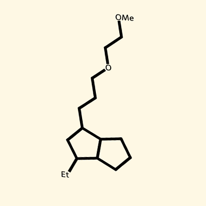 CCC1CC(CCCOCCOC)C2CCCC12